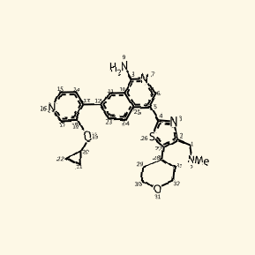 CNCc1nc(-c2cnc(N)c3cc(-c4ccncc4OC4CC4)ccc23)sc1C1CCOCC1